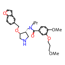 COCCCOc1cc(C(=O)N(C[C@@H]2CNC[C@H]2OCc2ccc3occc3c2)C(C)C)ccc1OC